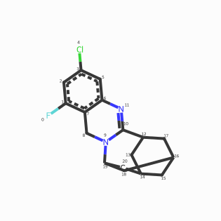 Fc1cc(Cl)cc2c1CN1C(=N2)C2CC3CC(C2)CC1C3